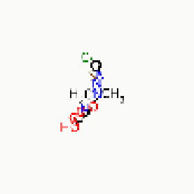 C[C@@H]1CN(c2nc3ccc(Cl)cc3s2)C[C@H](C)N1CCOc1cc(CC(=O)O)on1